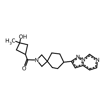 CC1(O)CC(C(=O)N2CC3(CCC(c4cc5ccncn5n4)CC3)C2)C1